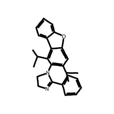 CC(C)c1cc2oc3ccccc3c2c(C(C)C)c1N1CCN=C1c1ccccc1